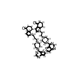 O=C1CCCc2c1ccn2CCCN1CCN(c2ncnc3ccsc23)CC1.O=C1CCCc2c1ccn2CCN1CCN(c2ncnc3ccsc23)CC1